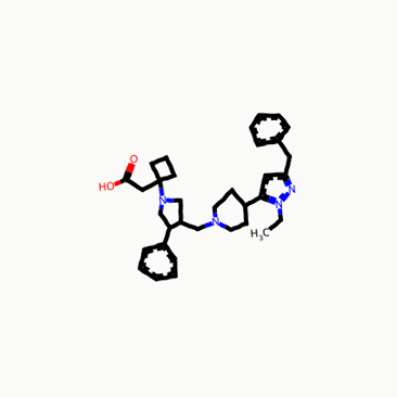 CCn1nc(Cc2ccccc2)cc1C1CCN(CC2CN(C3(CC(=O)O)CCC3)CC2c2ccccc2)CC1